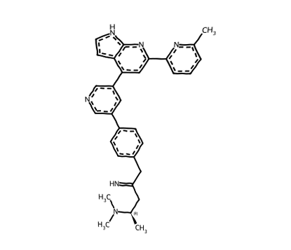 Cc1cccc(-c2cc(-c3cncc(-c4ccc(CC(=N)C[C@@H](C)N(C)C)cc4)c3)c3cc[nH]c3n2)n1